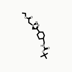 CCOC(=O)Cn1cc(C2CCC(CNC(=O)OC(C)(C)C)CC2)nn1